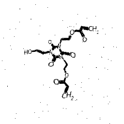 C=CC(=O)OCCn1c(=O)n(CCO)c(=O)n(CCOC(=O)C=C)c1=O